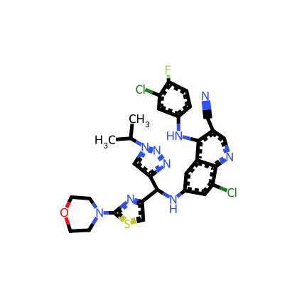 CC(C)n1cc(C(Nc2cc(Cl)c3ncc(C#N)c(Nc4ccc(F)c(Cl)c4)c3c2)c2csc(N3CCOCC3)n2)nn1